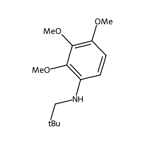 COc1ccc(NCC(C)(C)C)c(OC)c1OC